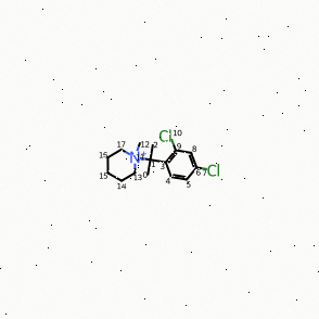 CC(C)(c1ccc(Cl)cc1Cl)[N+]1(C)CCCCC1